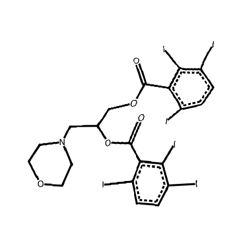 O=C(OCC(CN1CCOCC1)OC(=O)c1c(I)ccc(I)c1I)c1c(I)ccc(I)c1I